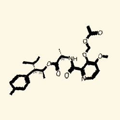 COc1ccnc(C(=O)N[C@@H](C)C(=O)O[C@@H](C)[C@H](c2ccc(C)cc2)C(C)C)c1OCOC(C)=O